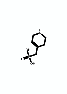 O=P(O)(O)CC1=CCNCC1